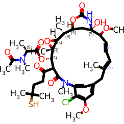 COc1cc2cc(c1Cl)N(C)C(=O)C(C(=O)CCC(C)(C)S)[C@H](OC(=O)[C@H](C)N(C)C(C)=O)[C@]1(C)O[C@H]1[C@H](C)[C@@H]1C[C@@](O)(NC(=O)O1)C(OC)/C=C/C=C(\C)C2